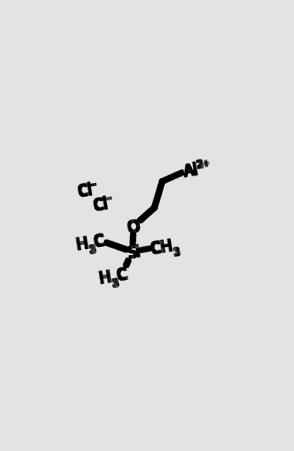 C[Si](C)(C)OC[CH2][Al+2].[Cl-].[Cl-]